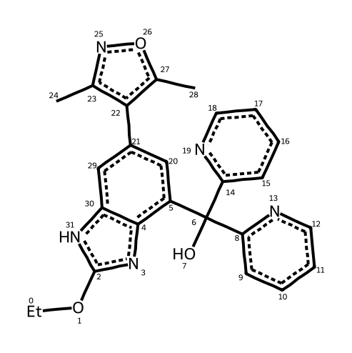 CCOc1nc2c(C(O)(c3ccccn3)c3ccccn3)cc(-c3c(C)noc3C)cc2[nH]1